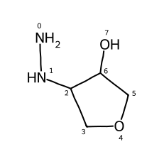 NNC1COCC1O